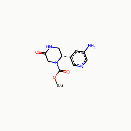 CC(C)(C)OC(=O)N1CC(=O)NC[C@@H]1c1cncc(N)c1